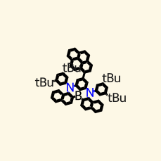 CC(C)(C)c1cc(N2c3cc(-c4ccc5ccc6cccc7ccc4c5c67)cc4c3B(c3ccc5ccccc5c32)c2ccc3ccccc3c2N4c2cc(C(C)(C)C)cc(C(C)(C)C)c2)cc(C(C)(C)C)c1